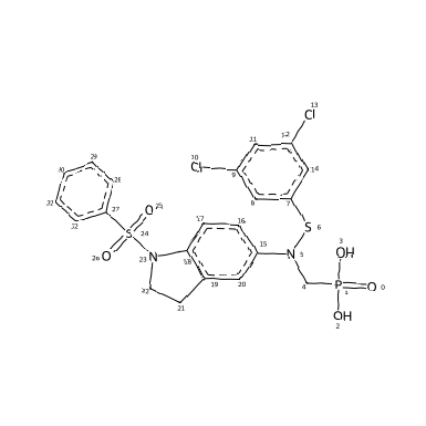 O=P(O)(O)CN(Sc1cc(Cl)cc(Cl)c1)c1ccc2c(c1)CCN2S(=O)(=O)c1ccccc1